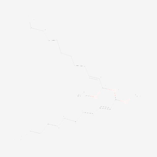 CCCCCCCCCOC(C=CCCCCCCCCC=O)OC(C=CCCCCCCCCC=O)OCCCCCCCCC